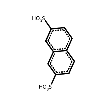 O=S(=O)(O)c1ccc2ccc(S(=O)(=O)O)cc2c1